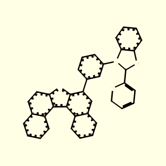 C1=CCNC(C2Nc3ccccc3N2c2cccc(-c3cc4ccccc4c4c3oc3ccc5ccccc5c34)c2)=C1